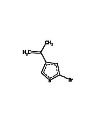 C=C(C)c1csc(Br)c1